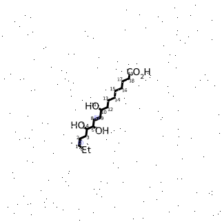 CC/C=C\CC(O)C(O)/C=C/C(O)CCCCCCCC(=O)O